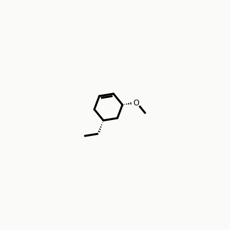 CC[C@@H]1CC=C[C@H](OC)C1